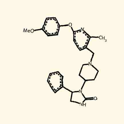 COc1ccc(Oc2ccc(CN3CCC(N4C(=O)NCC4c4ccccc4)CC3)c(C)n2)cc1